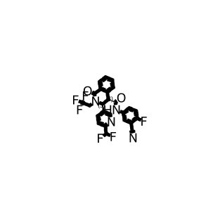 N#Cc1cc(NC(=O)[C@H]2c3ccccc3C(=O)N(CC(F)(F)F)[C@@H]2c2ccc(C(F)F)nc2)ccc1F